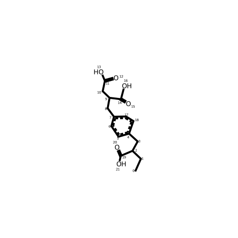 CCC(Cc1ccc(CC(CC(=O)O)C(=O)O)cc1)C(=O)O